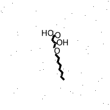 CCCCCCCCOCC(O)CC(=O)O